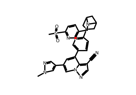 Cn1cc(-c2cc(-c3ccc(N4CC5CC(C4)N5Cc4ccc(S(C)(=O)=O)nc4)nc3)c3c(C#N)cnn3c2)cn1